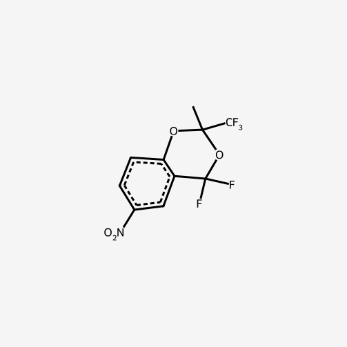 CC1(C(F)(F)F)Oc2ccc([N+](=O)[O-])cc2C(F)(F)O1